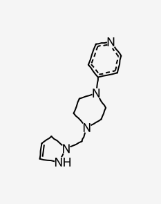 C1=CNN(CN2CCN(c3ccncc3)CC2)C1